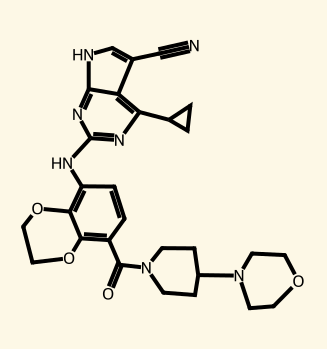 N#Cc1c[nH]c2nc(Nc3ccc(C(=O)N4CCC(N5CCOCC5)CC4)c4c3OCCO4)nc(C3CC3)c12